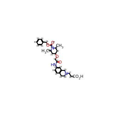 CC1CC(OCC(=O)Nc2ccc3c(c2)CN(CCC(=O)O)CC3)CC(C)N1C(=O)OCc1ccccc1